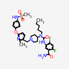 CCCCCN(C(=O)Nc1cc(C(N)=O)c(F)cc1F)C1CCN(Cc2ccc(Oc3ccc(NS(C)(=O)=O)cc3)nc2C)CC1